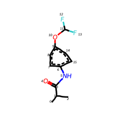 CC(C)C(=O)Nc1ccc(OC(F)F)cc1